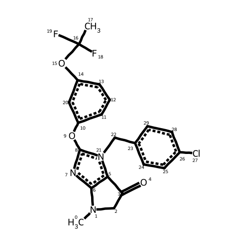 CN1CC(=O)c2c1nc(Oc1cccc(OC(C)(F)F)c1)n2Cc1ccc(Cl)cc1